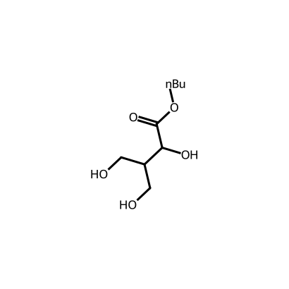 CCCCOC(=O)C(O)C(CO)CO